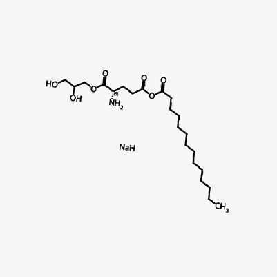 CCCCCCCCCCCCCC(=O)OC(=O)CC[C@H](N)C(=O)OCC(O)CO.[NaH]